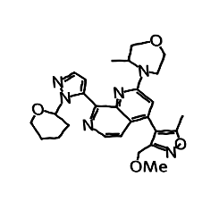 COCc1noc(C)c1-c1cc(N2CCOCC2C)nc2c(-c3ccnn3C3CCCCO3)nccc12